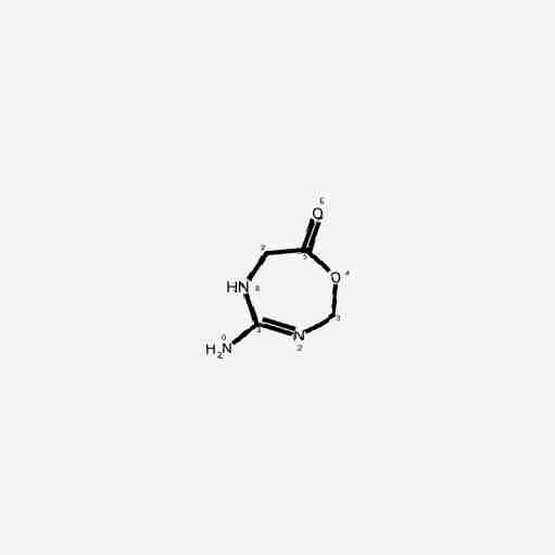 NC1=NCOC(=O)CN1